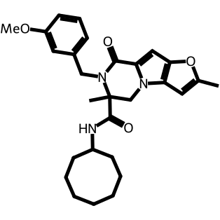 COc1cccc(CN2C(=O)c3cc4oc(C)cc4n3CC2(C)C(=O)NC2CCCCCCC2)c1